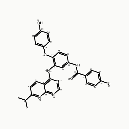 CC(C)c1ccc2c(Nc3cc(NC(=O)c4ccc(Br)cc4)ccc3Oc3ccc(O)cc3)ncnc2n1